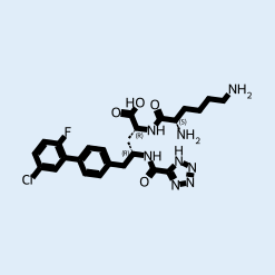 NCCCC[C@H](N)C(=O)N[C@H](C[C@@H](Cc1ccc(-c2cc(Cl)ccc2F)cc1)NC(=O)c1nnn[nH]1)C(=O)O